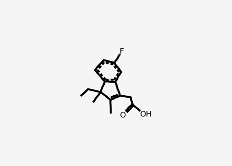 CCC1(C)C(C)=C(CC(=O)O)c2cc(F)ccc21